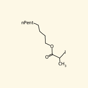 CCCCCCCCCOC(=O)C(C)I